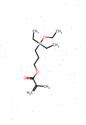 C=C(C)C(=O)OCCC[Si](CC)(CC)OCC